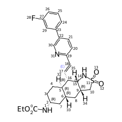 CCOC(=O)N[C@@H]1CC[C@@H]2[C@@H](C1)C[C@H]1CS(=O)(=O)N[C@H]1[C@H]2/C=C/c1ccc(-c2cccc(F)c2)cn1